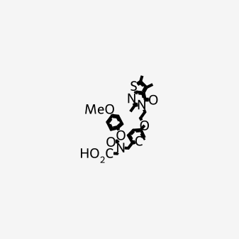 COc1ccc(OC(=O)N(CC(=O)O)Cc2ccc(OCCn3c(C)nc4sc(C)c(C)c4c3=O)cc2)cc1